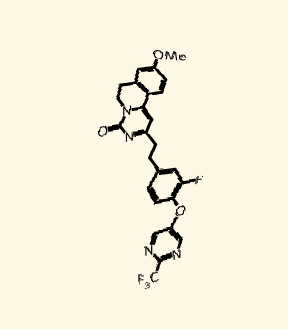 COc1ccc2c(c1)CCn1c-2cc(CCc2ccc(Oc3cnc(C(F)(F)F)nc3)c(F)c2)nc1=O